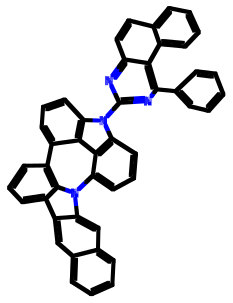 c1ccc(-c2nc(-n3c4cccc5c6cccc7c8cc9ccccc9cc8n(c8cccc3c8c54)c67)nc3ccc4ccccc4c23)cc1